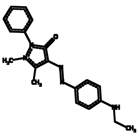 CCNc1ccc(/N=N/c2c(C)n(C)n(-c3ccccc3)c2=O)cc1